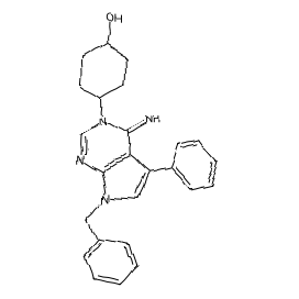 N=c1c2c(-c3ccccc3)cn(Cc3ccccc3)c2ncn1C1CCC(O)CC1